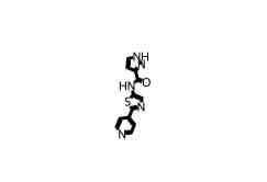 O=C(Nc1cnc(-c2ccncc2)s1)c1cc[nH]n1